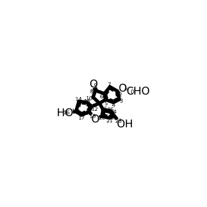 O=COc1ccc2c(c1)C(=O)CC21c2ccc(O)cc2Oc2cc(O)ccc21